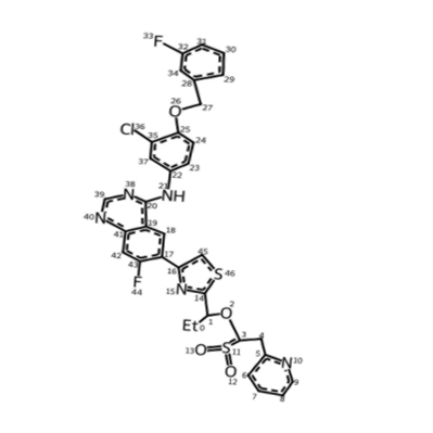 CCC(OC(Cc1ccccn1)=S(=O)=O)c1nc(-c2cc3c(Nc4ccc(OCc5cccc(F)c5)c(Cl)c4)ncnc3cc2F)cs1